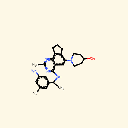 Cc1nc(NC(C)c2cc(N)cc(C(F)(F)F)c2)c2cc(N3CCC(O)CC3)c3c(c2n1)CCC3